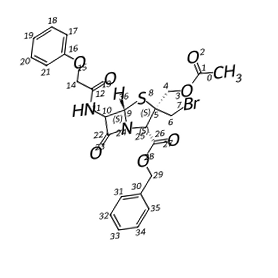 CC(=O)OC[C@@]1(CBr)S[C@H]2C(NC(=O)COc3ccccc3)C(=O)N2[C@H]1C(=O)OCc1ccccc1